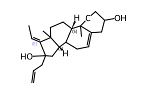 C=CCC1(O)C[C@H]2C3CC=C4CC(O)CCC4(C)[C@H]3CCC2(C)/C1=C\C